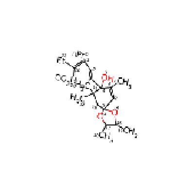 CCCC(C=CC1(O)C(C)=CC2(CC1(C)C)OC(C)C(C)O2)=C(CC)C(=O)O